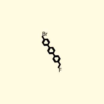 FCCc1ccc(-c2ccc(-c3ccc(CBr)cc3)cc2)cc1